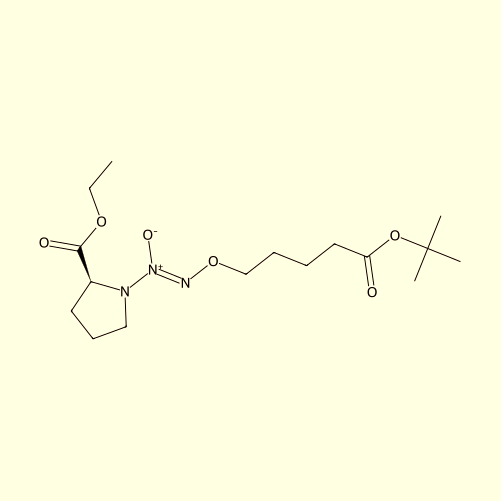 CCOC(=O)[C@@H]1CCCN1/[N+]([O-])=N/OCCCCC(=O)OC(C)(C)C